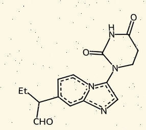 CCC(C=O)c1ccn2c(N3CCC(=O)NC3=O)cnc2c1